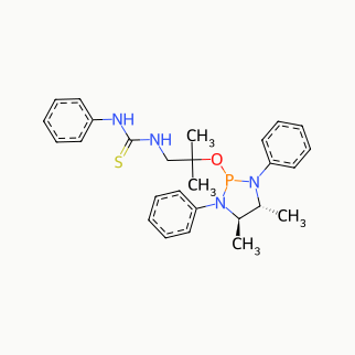 C[C@@H]1[C@@H](C)N(c2ccccc2)P(OC(C)(C)CNC(=S)Nc2ccccc2)N1c1ccccc1